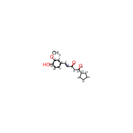 COc1cc(/C=C/C(=O)CC(=O)C2CCCC2)ccc1O